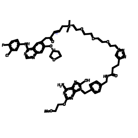 COCCOc1nc(N)c2nc(O)n(Cc3ccc(CNC(=O)CCc4cn(CCOCCOCCOCC[N+](C)(C)C/C=C/C(=O)Cc5cc6c(Nc7ccc(F)c(Cl)c7)ncnc6cc5O[C@@H]5CCOC5)nn4)cc3)c2n1